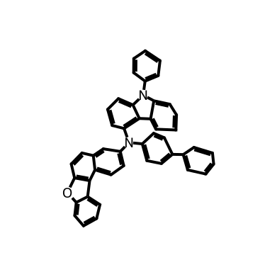 c1ccc(-c2ccc(N(c3ccc4c(ccc5oc6ccccc6c54)c3)c3cccc4c3c3ccccc3n4-c3ccccc3)cc2)cc1